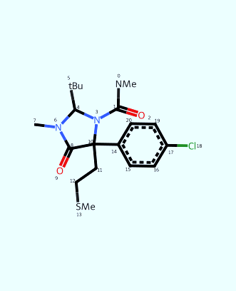 CNC(=O)N1C(C(C)(C)C)N(C)C(=O)C1(CCSC)c1ccc(Cl)cc1